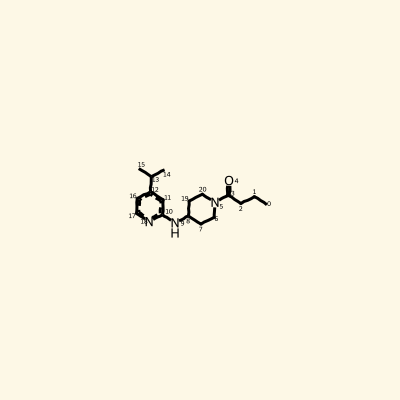 CCCC(=O)N1CCC(Nc2cc(C(C)C)ccn2)CC1